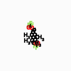 CC1(C)C(OC(=O)C(F)(F)F)CCC2(C)C1CCC1(C)C3CC[C@@]4(COC(=O)C(F)(F)F)CCCC4C3CCC12